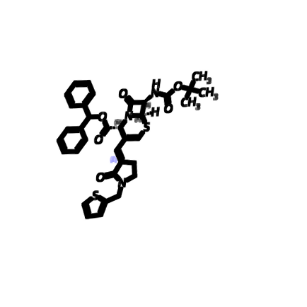 CC(C)(C)OC(=O)N[C@@H]1C(=O)N2[C@@H](C(=O)OC(c3ccccc3)c3ccccc3)C(/C=C3\CCN(Cc4cccs4)C3=O)=CS[C@H]12